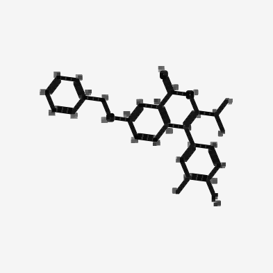 Cc1cc(-c2c(C(C)C)oc(=O)c3cc(OCc4ccccc4)ccc23)ccc1F